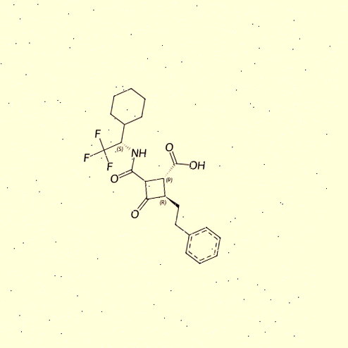 O=C(N[C@@H](C1CCCCC1)C(F)(F)F)C1C(=O)[C@H](CCc2ccccc2)[C@H]1C(=O)O